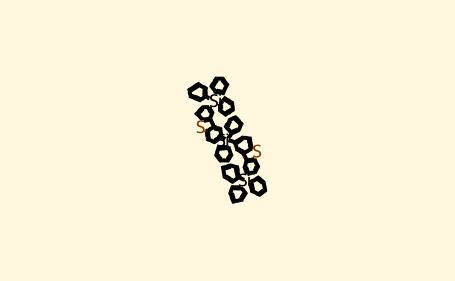 c1ccc([Si](c2ccccc2)(c2ccccc2)c2ccc3sc4ccc([Si](c5ccccc5)(c5ccccc5)c5ccc6sc7ccc([Si](c8ccccc8)(c8ccccc8)c8ccccc8)cc7c6c5)cc4c3c2)cc1